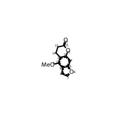 COc1c2c(cc3occc13)OC(=O)CC2